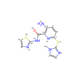 Cn1ccnc1Sc1ccc(N)c(C(=O)Nc2nccs2)n1